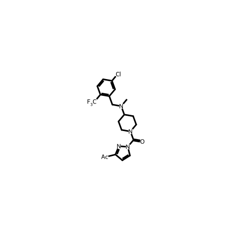 CC(=O)c1ccn(C(=O)N2CCC(N(C)Cc3cc(Cl)ccc3C(F)(F)F)CC2)n1